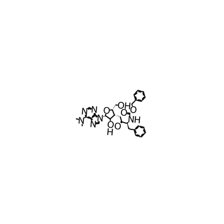 CN(C)c1ncnc2c1ncn2[C@@H]1O[C@H](CO)[C@H](CC(=O)[C@H](Cc2ccccc2)NC(=O)OCc2ccccc2)C1O